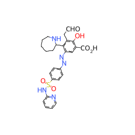 O=CCc1c(O)c(C(=O)O)cc(N=Nc2ccc(S(=O)(=O)Nc3ccccn3)cc2)c1C1CCCCCN1